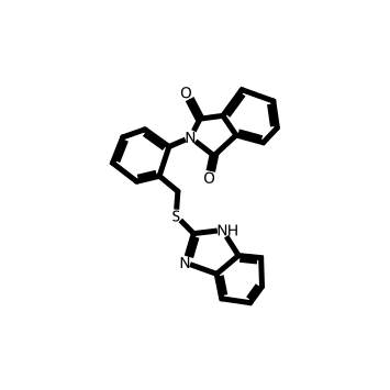 O=C1c2ccccc2C(=O)N1c1ccccc1CSc1nc2ccccc2[nH]1